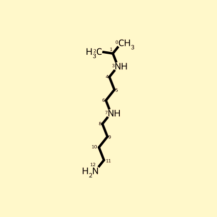 CC(C)NCCCNCCCCN